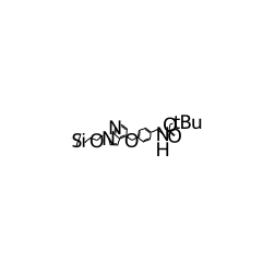 CC(C)(C)OC(=O)NCc1ccc(Oc2ccnc3c2ccn3COCC[Si](C)(C)C)cc1